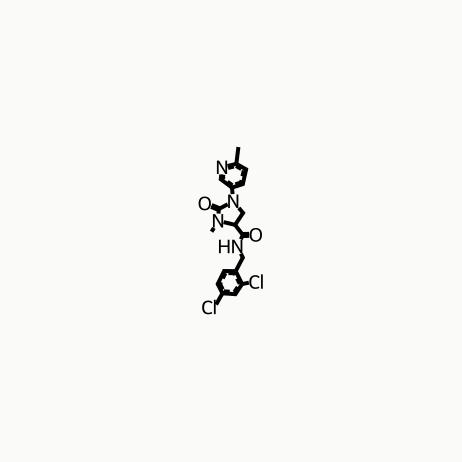 Cc1ccc(N2CC(C(=O)NCc3ccc(Cl)cc3Cl)N(C)C2=O)cn1